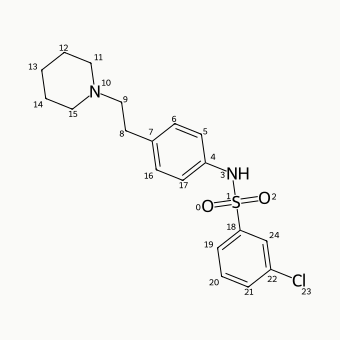 O=S(=O)(Nc1ccc(CCN2CCCCC2)cc1)c1cccc(Cl)c1